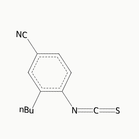 CCCCc1cc(C#N)ccc1N=C=S